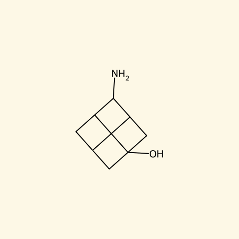 NC1C2CC3CC4(O)CC1C324